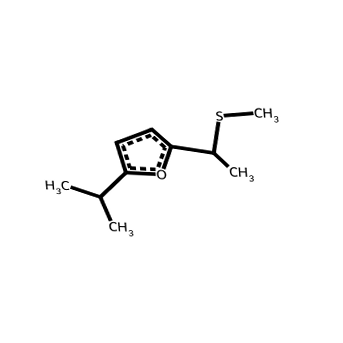 CSC(C)c1ccc(C(C)C)o1